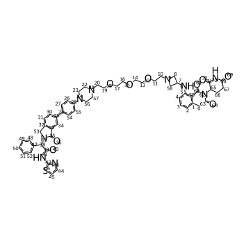 Cc1cccc(NC2CN(CCOCCOCCOCCN3CCN(c4ccc(-c5ccc6c(c5)C(=O)N(C(C(=O)Nc5nccs5)c5ccccc5)C6)cc4)CC3)C2)c1C(=O)N(C=O)C1CCC(=O)NC1=O